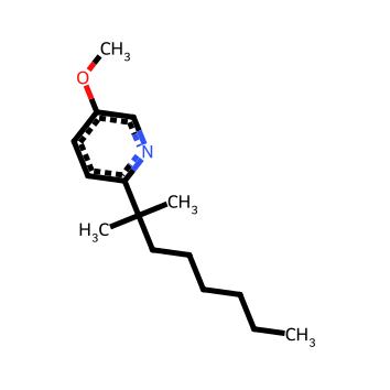 CCCCCCC(C)(C)c1ccc(OC)cn1